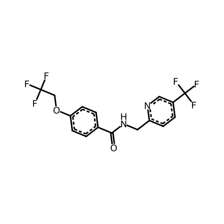 O=C(NCc1ccc(C(F)(F)F)cn1)c1ccc(OCC(F)(F)F)cc1